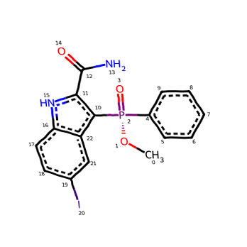 CO[P@](=O)(c1ccccc1)c1c(C(N)=O)[nH]c2ccc(I)cc12